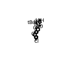 CC(C)(C)OC(=O)N1[C@@H]2C[C@@H]2C[C@H]1C(=O)OC1CCc2cc3c(cc2C1=O)OCc1cc(Cl)ccc1-3